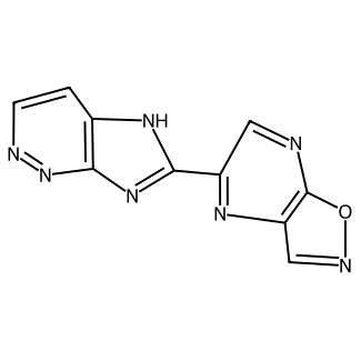 c1cc2[nH]c(-c3cnc4oncc4n3)nc2nn1